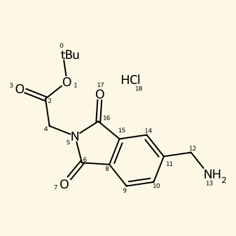 CC(C)(C)OC(=O)CN1C(=O)c2ccc(CN)cc2C1=O.Cl